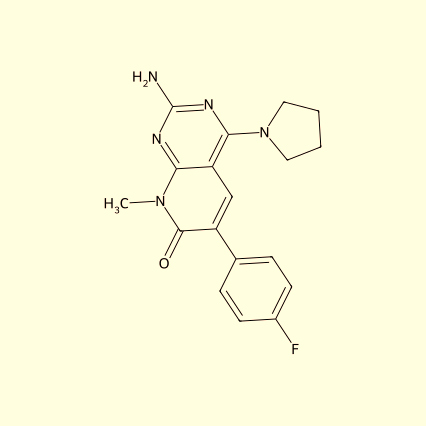 Cn1c(=O)c(-c2ccc(F)cc2)cc2c(N3CCCC3)nc(N)nc21